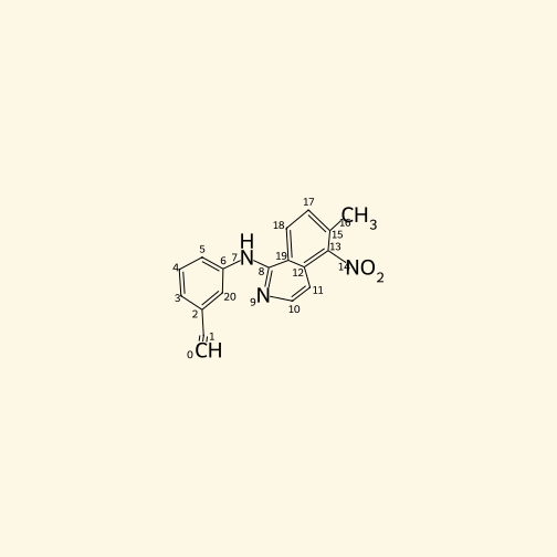 C#Cc1cccc(Nc2nccc3c([N+](=O)[O-])c(C)ccc23)c1